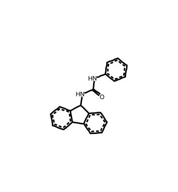 O=C(Nc1ccccc1)NC1c2ccccc2-c2ccccc21